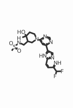 CC1(O)CCN(c2cc(-c3cnc(/C=C\C(=N)C(F)F)[nH]3)ncn2)CC1CNS(C)(=O)=O